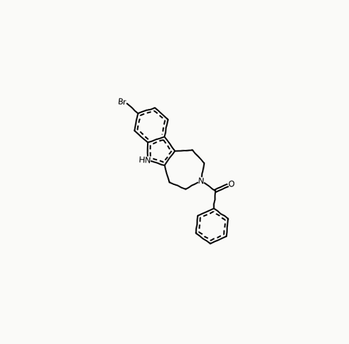 O=C(c1ccccc1)N1CCc2[nH]c3cc(Br)ccc3c2CC1